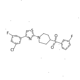 O=S(=O)(c1cccc(F)c1)C1CCN(c2nc(-c3cc(F)cc(Cl)c3)cs2)CC1